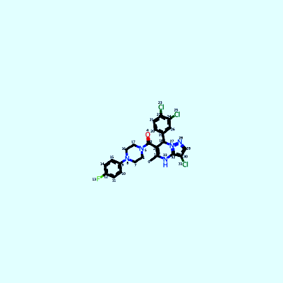 CC1=C(C(=O)N2CCN(c3ccc(F)cc3)CC2)C(c2ccc(Cl)c(Cl)c2)n2ncc(Cl)c2N1